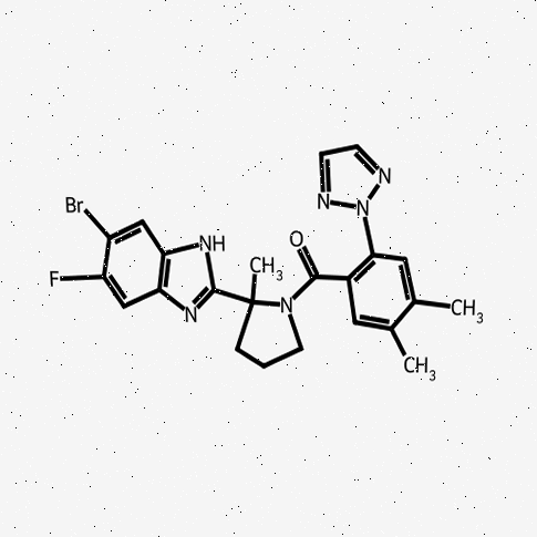 Cc1cc(C(=O)N2CCCC2(C)c2nc3cc(F)c(Br)cc3[nH]2)c(-n2nccn2)cc1C